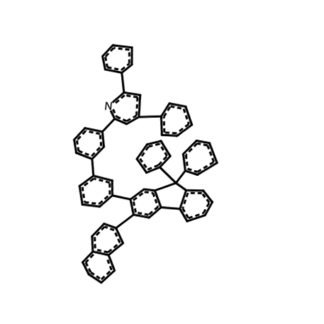 c1ccc(-c2cc(-c3ccccc3)nc(-c3cccc(-c4cccc(-c5cc6c(cc5-c5ccc7ccccc7c5)-c5ccccc5C6(c5ccccc5)c5ccccc5)c4)c3)c2)cc1